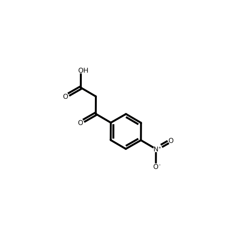 O=C(O)CC(=O)c1ccc([N+](=O)[O-])cc1